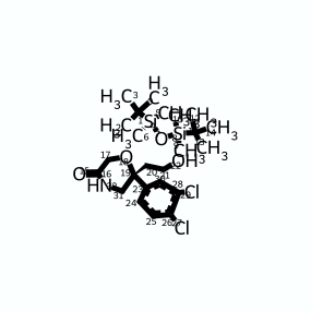 CC(C)(C)[Si](C)(C)O[Si](C)(C)C(C)(C)C.O=C1CO[C@](CCO)(c2ccc(Cl)c(Cl)c2)CN1